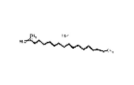 CCCCCCCCCCCCCCCC[S+](C)C.[OH-]